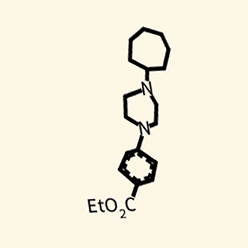 CCOC(=O)c1ccc(N2CCN(C3CCCCCC3)CC2)cc1